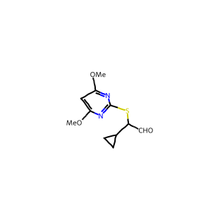 COc1cc(OC)nc(SC(C=O)C2CC2)n1